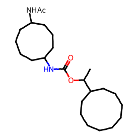 CC(=O)NC1CCCCC(NC(=O)OC(C)C2CCCCCCCCC2)CCC1